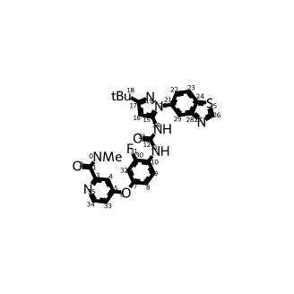 CNC(=O)c1cc(Oc2ccc(NC(=O)Nc3cc(C(C)(C)C)nn3-c3ccc4scnc4c3)c(F)c2)ccn1